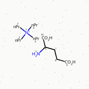 CCC[N+](CCC)(CCC)CCC.NC(CCC(=O)O)C(=O)O